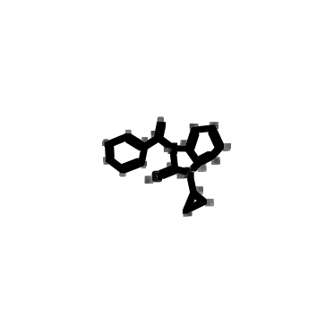 C=C(c1ccccc1)n1c(=O)n(C2CC2)c2ccccc21